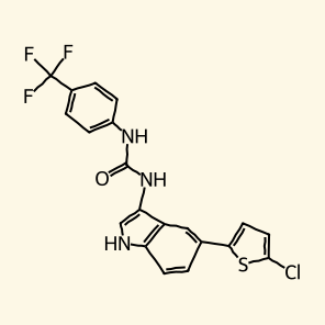 O=C(Nc1ccc(C(F)(F)F)cc1)Nc1c[nH]c2ccc(-c3ccc(Cl)s3)cc12